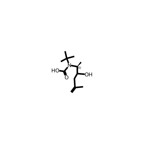 C=C(C)CC(O)[C@H](C)N(C(=O)O)C(C)(C)C